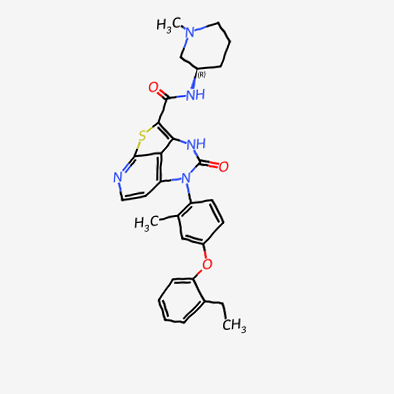 CCc1ccccc1Oc1ccc(N2C(=O)Nc3c(C(=O)N[C@@H]4CCCN(C)C4)sc4nccc2c34)c(C)c1